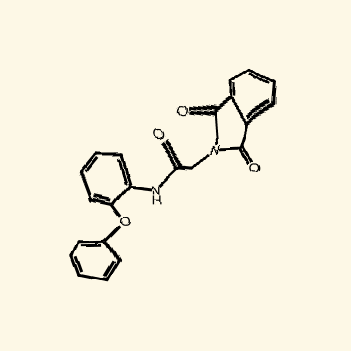 O=C(CN1C(=O)c2ccccc2C1=O)Nc1ccccc1Oc1ccccc1